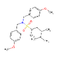 COc1ccc(CN(Cc2ccc(OC)cc2)S(=O)(=O)C(C)CC(C)C(C)C)cc1